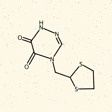 O=c1[nH]n[c]n(CC2SCCS2)c1=O